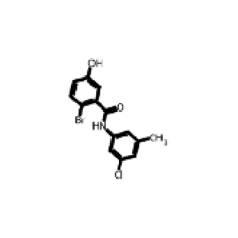 Cc1cc(Cl)cc(NC(=O)c2cc(O)ccc2Br)c1